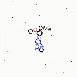 COc1ccc(N2CCNC(CN3CCCC3)C2)cc1OC1CCCC1